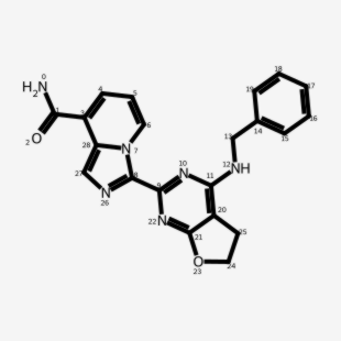 NC(=O)c1cccn2c(-c3nc(NCc4ccccc4)c4c(n3)OCC4)ncc12